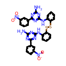 Nc1nc(Nc2ccccc2SSc2ccccc2Nc2nc(N)nc(-c3cccc([N+](=O)[O-])c3)n2)nc(-c2cccc([N+](=O)[O-])c2)n1